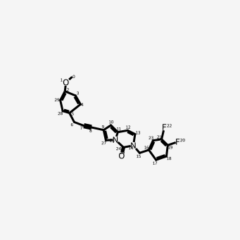 COc1ccc(CC#Cc2cc3ccn(Cc4ccc(F)c(F)c4)c(=O)n3c2)cc1